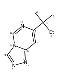 CCC(C)(C)c1cc2nncn2cn1